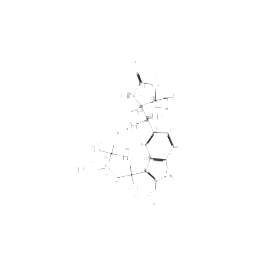 [2H]c1[nH]c2ccc(C([2H])([2H])[C@]3([2H])NC(=O)OC3([2H])[2H])cc2c1C([2H])([2H])CN(C)C([2H])([2H])[2H]